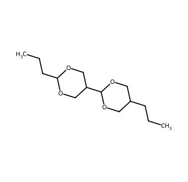 CCCC1COC(C2COC(CCC)OC2)OC1